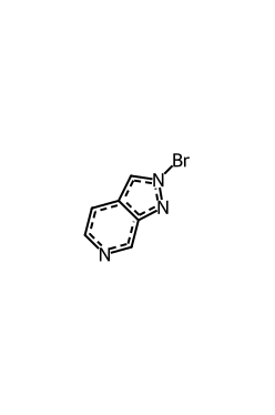 Brn1cc2ccncc2n1